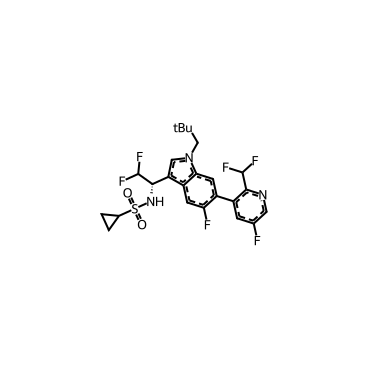 CC(C)(C)Cn1cc([C@H](NS(=O)(=O)C2CC2)C(F)F)c2cc(F)c(-c3cc(F)cnc3C(F)F)cc21